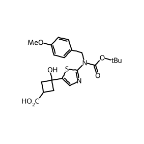 COc1ccc(CN(C(=O)OC(C)(C)C)c2ncc(C3(O)CC(C(=O)O)C3)s2)cc1